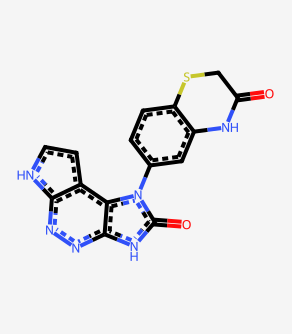 O=C1CSc2ccc(-n3c(=O)[nH]c4nnc5[nH]ccc5c43)cc2N1